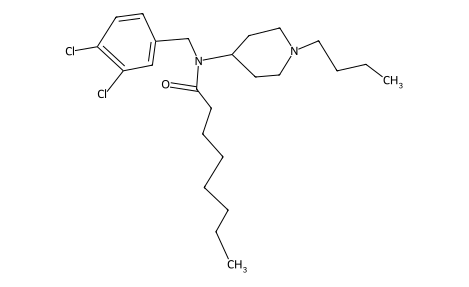 CCCCCCCC(=O)N(Cc1ccc(Cl)c(Cl)c1)C1CCN(CCCC)CC1